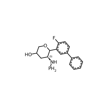 OC1COC(c2cc(-c3ccccc3)ccc2F)[C@@H](NP)C1